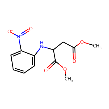 COC(=O)CC(Nc1ccccc1[N+](=O)[O-])C(=O)OC